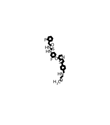 COCCNCc1ccc(-c2cc3nccc(Oc4ccc(NC(=S)NC(=O)Cc5ccccc5F)cc4F)c3s2)cc1